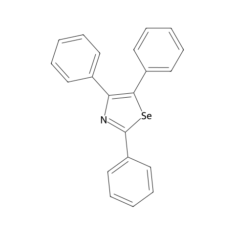 c1ccc(-c2nc(-c3ccccc3)c(-c3ccccc3)[se]2)cc1